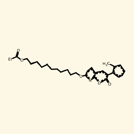 CCC(=O)OCCCCCCCCCCCOc1ccc2cc(-c3ccccc3C)c(=O)oc2n1